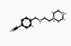 N#Cc1ccc(COCCN2CCOCC2)cc1